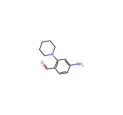 Nc1ccc([C]=O)c(N2CCCCC2)c1